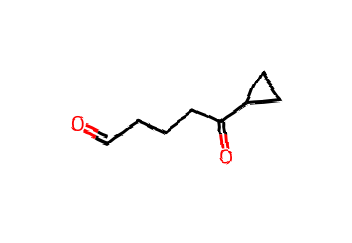 O=CCCCC(=O)C1CC1